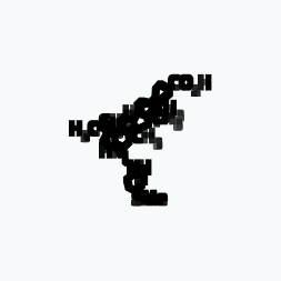 C=C(C)[C@@H]1CC[C@]2(NCCNc3ccc(SC)cn3)CC[C@]3(C)[C@H](CC[C@@H]4[C@@]5(C)CC=C(c6ccc(C(=O)O)cc6)C(C)(C)[C@@H]5CC[C@]43C)[C@@H]12